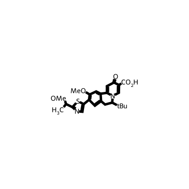 COc1cc2c(cc1-c1cnc(C(C)OC)s1)CC(C(C)(C)C)n1cc(C(=O)O)c(=O)cc1-2